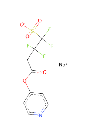 O=C(CC(F)(F)C(F)(F)S(=O)(=O)[O-])Oc1ccncc1.[Na+]